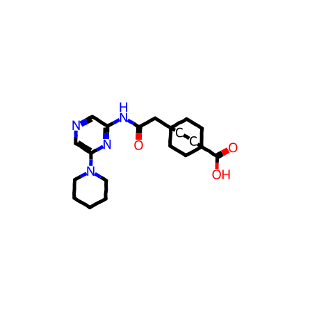 O=C(CC12CCC(C(=O)O)(CC1)CC2)Nc1cncc(N2CCCCC2)n1